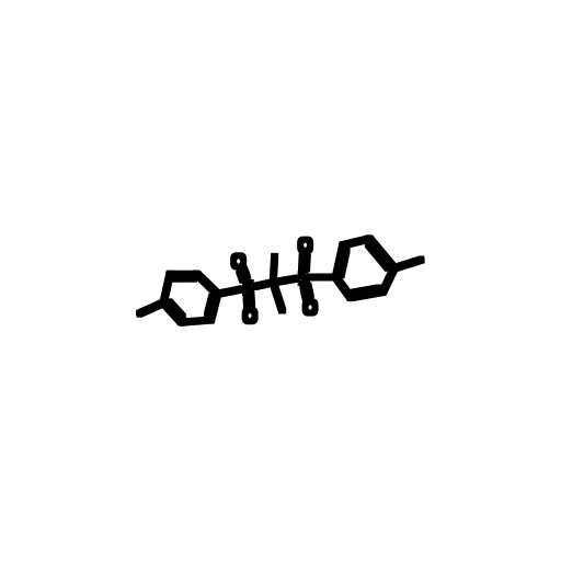 Cc1ccc(S(=O)(=O)C(C)(C)S(=O)(=O)c2ccc(C)cc2)cc1